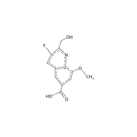 COc1cc(C(=O)O)cc2cc(F)c(CO)nc12